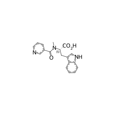 CN(C(=O)c1cccnc1)[C@@H](Cc1c[nH]c2ccccc12)C(=O)O